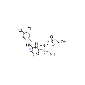 CC/C(C)=C(/NCc1ccc(Cl)c(Cl)c1)NC(=O)/C(NCCS(=O)(=O)CCO)=C(\C)C=N